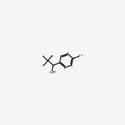 CC(C)(C)C(O)c1ccc(F)cc1